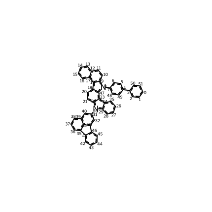 c1ccc(-c2ccc(-n3c4ccc5ccccc5c4c4ccc5c(c6ccccc6n5-c5cc6c7c(cccc7c5)-c5ccccc5-6)c43)cc2)cc1